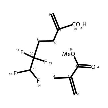 C=C(C)C(=O)OC.C=C(CCC(F)(F)C(F)F)C(=O)O